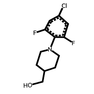 OCC1CCN(c2c(F)cc(Cl)cc2F)CC1